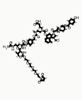 Cc1cccc2c(OC(=O)N(CCCC(=O)O)CCN(C)C(=O)OCc3ccc(NC(=O)[C@H](CCCNC(N)=O)NC(=O)[C@@H](NC(=O)OCCOCCOCCOCCN4C(=O)C=CC4=O)C(C)C)cc3)cc3c(c12)[C@H](CCl)CN3C(=O)c1cn2c(n1)CCC(NC(=O)c1ccc(O)cc1)=C2